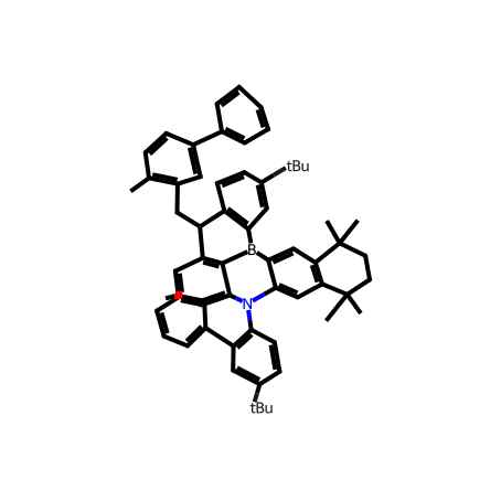 Cc1cc2c3c(c1)N(c1ccc(C(C)(C)C)cc1-c1ccccc1)c1cc4c(cc1B3c1cc(C(C)(C)C)ccc1C2Cc1cc(-c2ccccc2)ccc1C)C(C)(C)CCC4(C)C